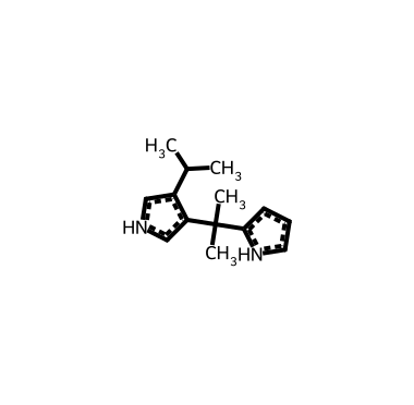 CC(C)c1c[nH]cc1C(C)(C)c1ccc[nH]1